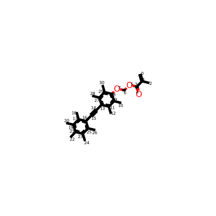 C=C(C)C(=O)OCOc1c(C)c(C)c(C#Cc2c(C)c(C)c(C)c(C)c2C)c(C)c1C